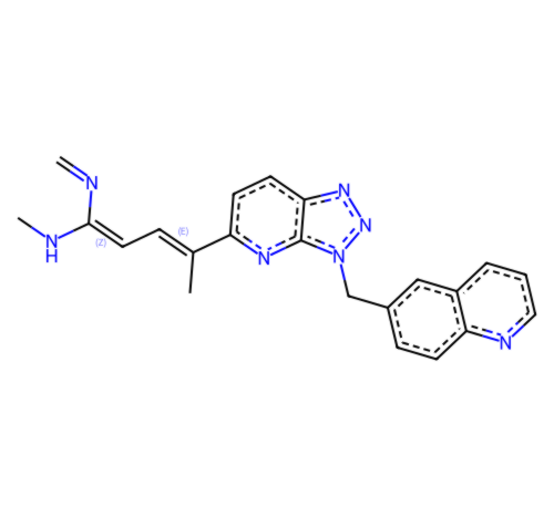 C=N/C(=C\C=C(/C)c1ccc2nnn(Cc3ccc4ncccc4c3)c2n1)NC